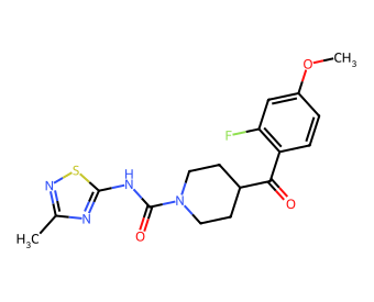 COc1ccc(C(=O)C2CCN(C(=O)Nc3nc(C)ns3)CC2)c(F)c1